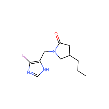 CCCC1CC(=O)N(Cc2[nH]cnc2I)C1